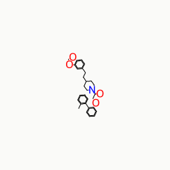 Cc1ccccc1-c1ccccc1OCC(=O)N1CCC(CCc2ccc3c(c2)OCO3)CC1